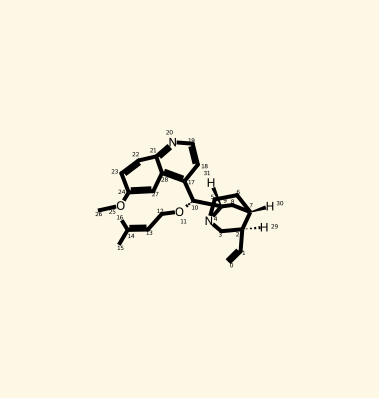 C=C[C@H]1CN2CC[C@H]1C[C@H]2[C@H](OCC=C(C)C)c1ccnc2ccc(OC)cc12